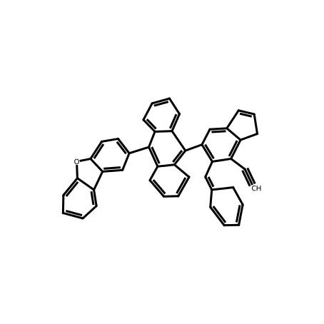 C#Cc1c(/C=C2/C=CC=CC2)c(-c2c3ccccc3c(-c3ccc4oc5ccccc5c4c3)c3ccccc23)cc2c1CC=C2